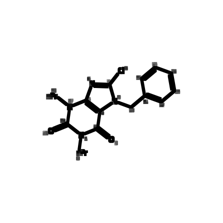 CCCn1c(=O)c2c(nc(Cl)n2Cc2ccccc2)n(CCC)c1=O